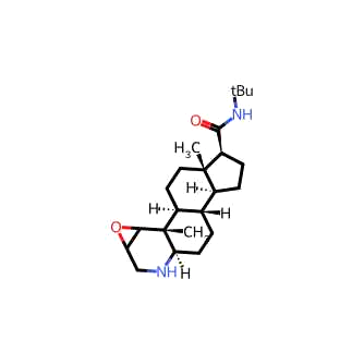 CC(C)(C)NC(=O)[C@H]1CC[C@H]2[C@@H]3CC[C@H]4NCC5OC5[C@]4(C)[C@H]3CC[C@]12C